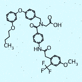 CCCCOc1cccc(Oc2ccc(CN(CC(=O)O)C(=O)c3ccc(NC(=O)Cc4ccc(OC)cc4C(F)(F)F)cc3)cc2)c1